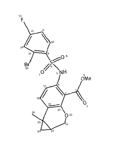 COC(=O)c1c(NS(=O)(=O)c2ccc(F)cc2Br)ccc2c1OCC1CC21C